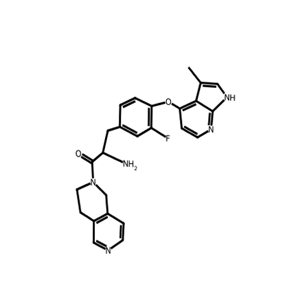 Cc1c[nH]c2nccc(Oc3ccc(CC(N)C(=O)N4CCc5cnccc5C4)cc3F)c12